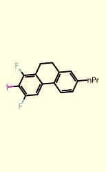 CCCc1ccc2c(c1)CCc1c-2cc(F)c(I)c1F